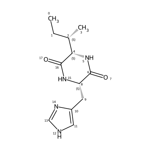 CC[C@H](C)[C@@H]1NC(=O)[C@H](Cc2c[nH]cn2)NC1=O